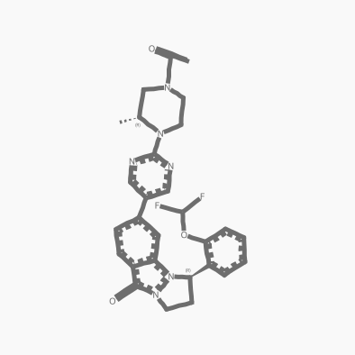 CC(=O)N1CCN(c2ncc(-c3ccc4c(=O)n5n(c4c3)[C@@H](c3ccccc3OC(F)F)CC5)cn2)[C@H](C)C1